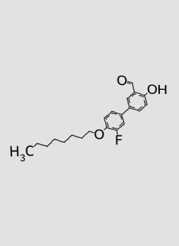 CCCCCCCCOc1ccc(-c2ccc(O)c(C=O)c2)cc1F